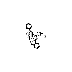 CC(CC1OCCc2ccccc21)NCC(O)c1ccccc1